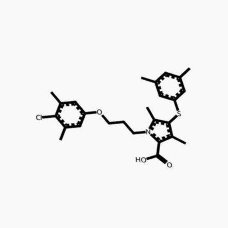 Cc1cc(C)cc(Sc2c(C)c(C(=O)O)n(CCCOc3cc(C)c(Cl)c(C)c3)c2C)c1